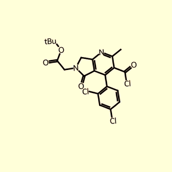 Cc1nc2c(c(-c3ccc(Cl)cc3Cl)c1C(=O)Cl)C(=O)N(CC(=O)OC(C)(C)C)C2